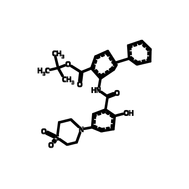 CC(C)(C)OC(=O)c1ccc(-c2ccccc2)cc1NC(=O)c1cc(N2CCS(=O)(=O)CC2)ccc1O